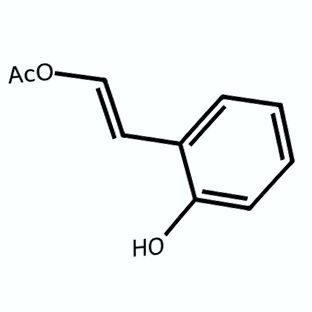 CC(=O)O/C=C/c1ccccc1O